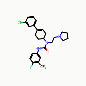 O=C(Nc1ccc(F)c(C(F)(F)F)c1)N(CCN1CCCC1)C1CC=C(c2cccc(Cl)c2)CC1